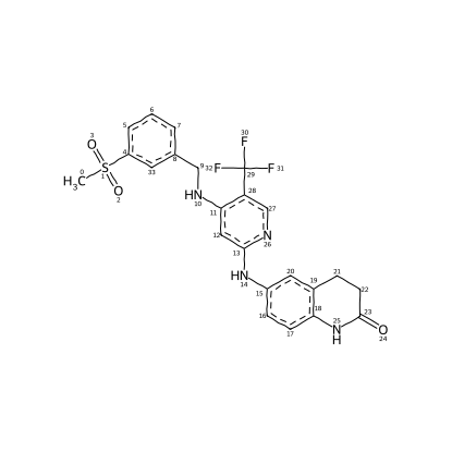 CS(=O)(=O)c1cccc(CNc2cc(Nc3ccc4c(c3)CCC(=O)N4)ncc2C(F)(F)F)c1